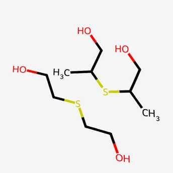 CC(CO)SC(C)CO.OCCSCCO